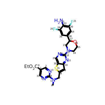 CCOC(=O)c1cnc(N(C)Cc2cc3nc(N4CCOC(c5cc(F)c(N)c(F)c5)C4)ncc3s2)nc1